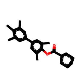 Cc1cc(-c2cc(C)c(OC(=O)c3ccccc3)c(C)c2)cc(C)c1C